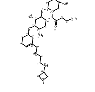 C[C@]1(O)CO[C@H](O[C@@H]2[C@@H](O)[C@H](O[C@@H]3CCC=C(CNCCNC4CNC4)O3)[C@@H](N)C[C@H]2NC(=O)CCN)[C@H](O)C1